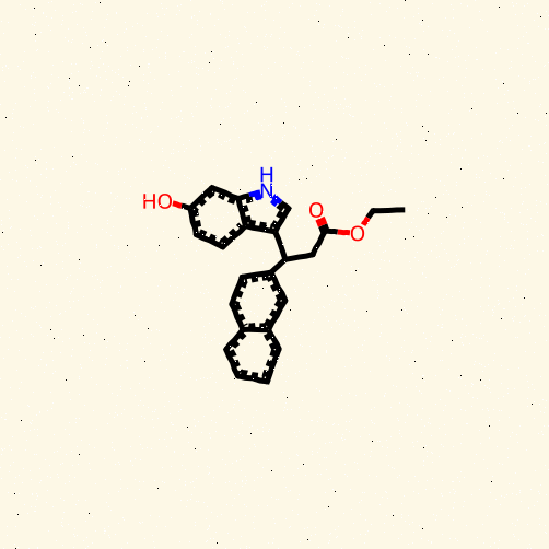 CCOC(=O)CC(c1ccc2ccccc2c1)c1c[nH]c2cc(O)ccc12